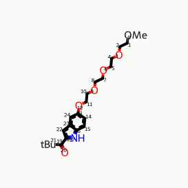 COCCOCCOCCOCCOc1ccc2[nH]c(C(=O)C(C)(C)C)cc2c1